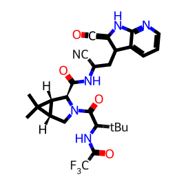 CC(C)(C)C(NC(=O)C(F)(F)F)C(=O)N1C[C@H]2[C@@H]([C@H]1C(=O)NC(C#N)CC1C(=C=O)Nc3ncccc31)C2(C)C